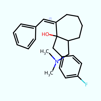 CN(C)CC1CCCC/C(=C/c2ccccc2)C1(O)Cc1ccc(F)cc1